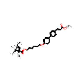 COC(=O)/C=C/c1ccc(C2CCC(OCCCCCCOC(=O)C(C)(CC(C)C)C(C)C)CC2)cc1